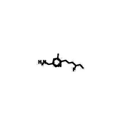 CCC(F)CCCc1ncc(CN)cc1C